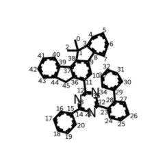 CC1(C)c2ccccc2-c2cc(-c3nc(-c4ccccc4)nc(-c4ccccc4-c4ccccc4)n3)c3c(c21)-c1ccccc1C3